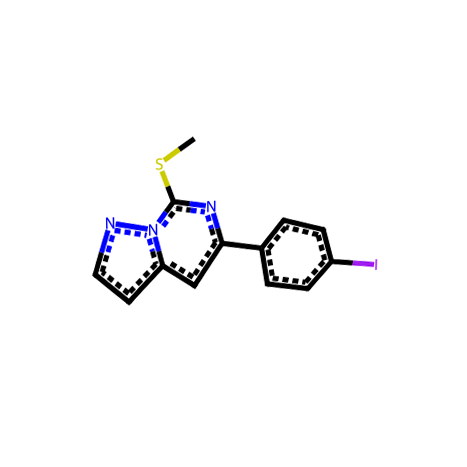 CSc1nc(-c2ccc(I)cc2)cc2ccnn12